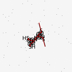 CCCCCCCCCCCCSCC(C)C(=O)OCCOC(=O)CCN(CCCN1CCN(CCCN(CCC(=O)OCCOC(=O)C(C)CS)CCC(=O)OCCOC(=O)C(C)CS)CC1)CCC(=O)OCCOC(=O)C(C)CSCCCCCCCCCCCC